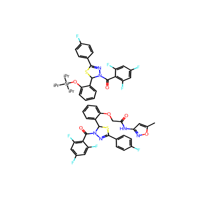 CC(C)[Si](Oc1ccccc1C1SC(c2ccc(F)cc2)=NN1C(=O)c1c(F)cc(F)cc1F)(C(C)C)C(C)C.Cc1cc(NC(=O)COc2ccccc2C2SC(c3ccc(F)cc3)=NN2C(=O)c2c(F)cc(F)cc2F)no1